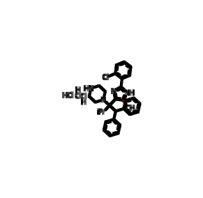 Cc1[nH]c(-c2ccccc2Cl)nc1C(C(C)C)(C(c1ccccc1)c1ccccc1)N1CCNCC1.Cl.Cl.Cl